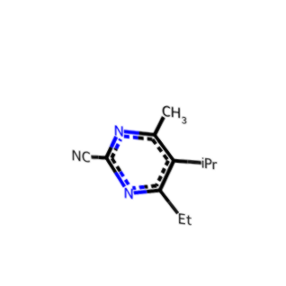 CCc1nc(C#N)nc(C)c1C(C)C